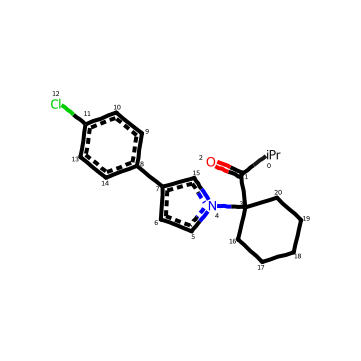 CC(C)C(=O)C1(n2ccc(-c3ccc(Cl)cc3)c2)CCCCC1